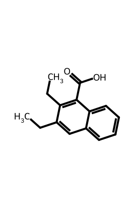 CCc1cc2ccccc2c(C(=O)O)c1CC